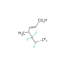 CC(C=CC(=O)O)C(F)(F)C(F)C(F)(F)F